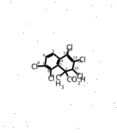 CC1(C(=O)O)c2c(ccc(Cl)c2Cl)C(Cl)=C(Cl)C1Cl